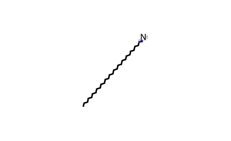 CCCCCCCCCCCCCCCCCCCCCCCCCCC/C=C/[N]